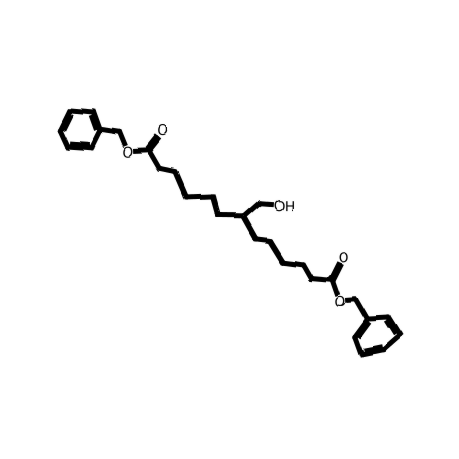 O=C(CCCCCC(CO)CCCCCC(=O)OCc1ccccc1)OCc1ccccc1